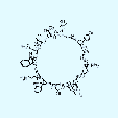 CCCC[C@H]1C(=O)N(C)[C@@H](CCCC)C(=O)N[C@@H](CCC(=O)O)C(=O)N[C@H](C(=O)NCC(N)=O)CSCC(=O)N[C@@H](CCc2ccc(O)cc2)C(=O)N(C)[C@@H](C)C(=O)N[C@H]2CC(N)=C3CC[C@@H](C(=O)N[C@@H](Cc4c[nH]cn4)C(=O)N[C@@H](CCCCN)C(=O)N4C[C@H](O)C[C@H]4C(=O)N[C@@H](Cc4c[nH]c5ccccc45)C(=O)N[C@@H](CCCCN)C(=O)N[C@@H](Cc4c[nH]c5ccccc45)C(=O)N1C)N3C2=O